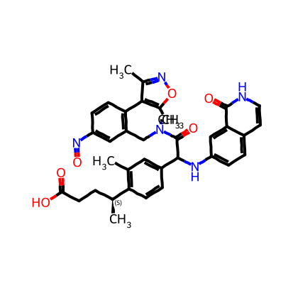 Cc1cc(C(Nc2ccc3cc[nH]c(=O)c3c2)C(=O)N(C)Cc2cc(N=O)ccc2-c2c(C)noc2C)ccc1[C@@H](C)CCC(=O)O